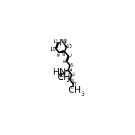 CCCCC(CC=Cc1cccnc1)NC